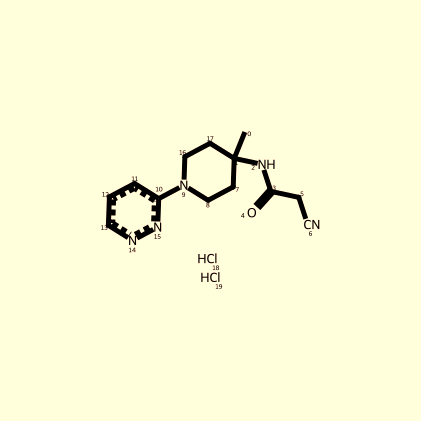 CC1(NC(=O)CC#N)CCN(c2cccnn2)CC1.Cl.Cl